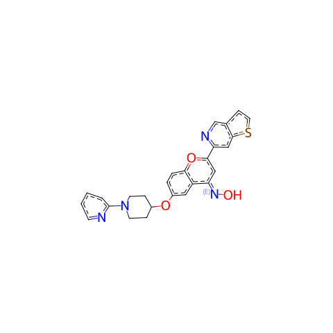 O/N=c1\cc(-c2cc3sccc3cn2)oc2ccc(OC3CCN(c4ccccn4)CC3)cc12